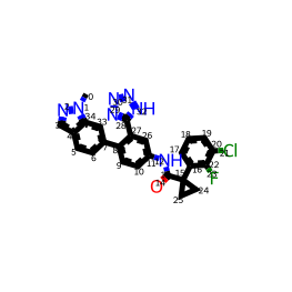 Cn1ncc2ccc(-c3ccc(NC(=O)C4(c5cccc(Cl)c5F)CC4)cc3-c3nnn[nH]3)cc21